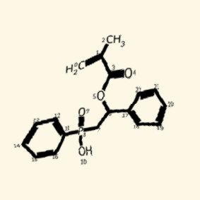 C=C(C)C(=O)OC(CP(=O)(O)c1ccccc1)c1ccccc1